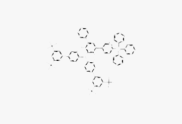 CC(C)(C)c1cc(-c2ccc3c(c2)Oc2c(-c4ccccc4)cc(-c4ccc([Si](c5ccccc5)(c5ccccc5)c5ccccc5)nc4)c4c2B3c2ccc(-c3cc(C(C)(C)C)cc(C(C)(C)C)c3)cc2O4)cc(C(C)(C)C)c1